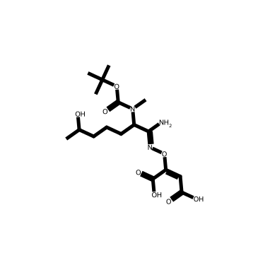 CC(O)CCCC(C(N)=NOC(=CC(=O)O)C(=O)O)N(C)C(=O)OC(C)(C)C